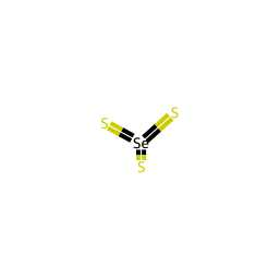 S=[Se](=S)=S